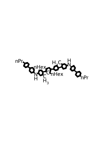 CCCCCCc1cc(-c2ccc(Nc3ccc(-c4ccc(CCC)cc4)cc3)cc2C)c(CCCCCC)cc1-c1ccc(-c2ccc(Nc3ccc(-c4ccc(CCC)cc4)cc3)cc2C)cc1